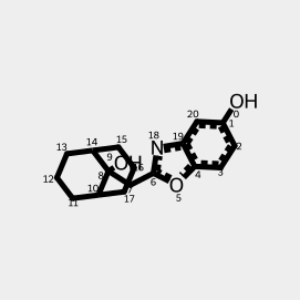 Oc1ccc2oc(CC3(O)C4CCCC3CCC4)nc2c1